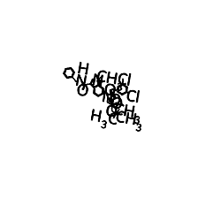 Cn1cc(C(=O)NCc2ccccc2)c2ccc(N(CC(=O)OC(C)(C)C)S(=O)(=O)c3cc(Cl)cc(Cl)c3)cc21